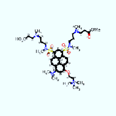 COC(=O)CCN(C)CCCN(C)S(=O)(=O)c1cc(S(=O)(=O)N(C)CCCN(C)CCC(=O)O)c2ccc3c(N(C)C)cc(OCC[N+](C)(C)C)c4ccc1c2c43